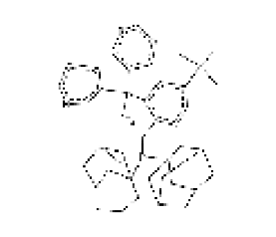 CC(C)(C)c1ccc(CP(C23CC4CC(CC(C4)C2)C3)C23CC4CC(CC(C4)C2)C3)c(C(P)(c2cccnc2)c2cccnc2)c1